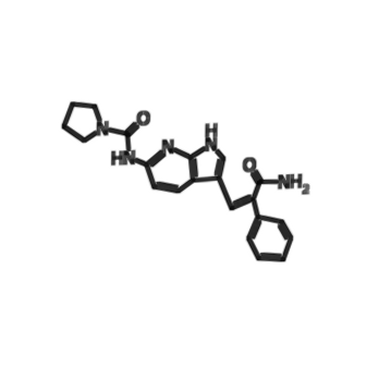 NC(=O)C(=Cc1c[nH]c2nc(NC(=O)N3CCCC3)ccc12)c1ccccc1